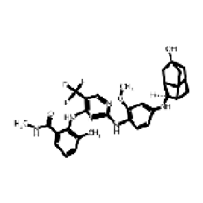 CNC(=O)c1cccc(C)c1Nc1nc(Nc2ccc(N[C@H]3C4CC5CC3C[C@@](O)(C5)C4)cc2OC)ncc1C(F)(F)F